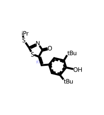 CC(C)SC1=NC(=O)/C(=C\c2cc(C(C)(C)C)c(O)c(C(C)(C)C)c2)S1